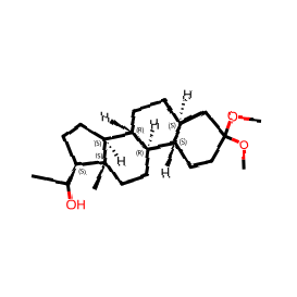 COC1(OC)CC[C@H]2[C@@H](CC[C@@H]3[C@@H]2CC[C@]2(C)[C@@H](C(C)O)CC[C@@H]32)C1